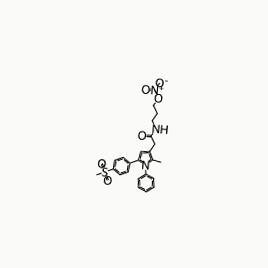 Cc1c(CC(=O)NCCCO[N+](=O)[O-])cc(-c2ccc(S(C)(=O)=O)cc2)n1-c1ccccc1